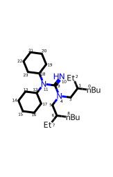 CCCCC(CC)CN(CC(CC)CCCC)C(=N)N(C1CCCCC1)C1CCCCC1